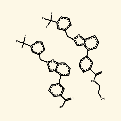 O=C(NCCO)c1cccc(-c2cccc3nn(Cc4cccc(C(F)(F)F)c4)cc23)c1.O=C(O)c1cccc(-c2cccc3nn(Cc4cccc(C(F)(F)F)c4)cc23)c1